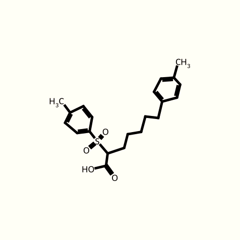 Cc1ccc(CCCCCC(C(=O)O)S(=O)(=O)c2ccc(C)cc2)cc1